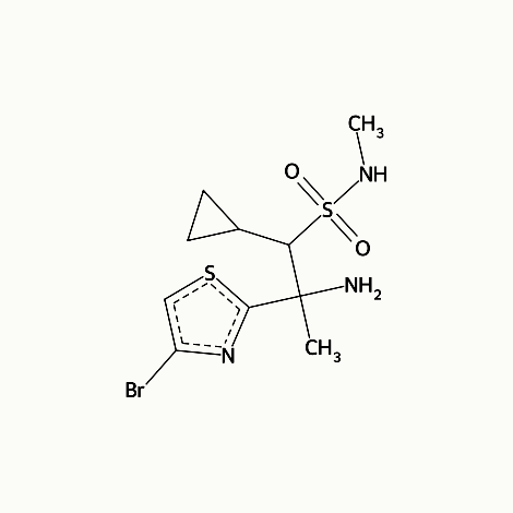 CNS(=O)(=O)C(C1CC1)C(C)(N)c1nc(Br)cs1